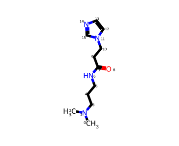 CN(C)CCCNC(=O)CCn1ccnc1